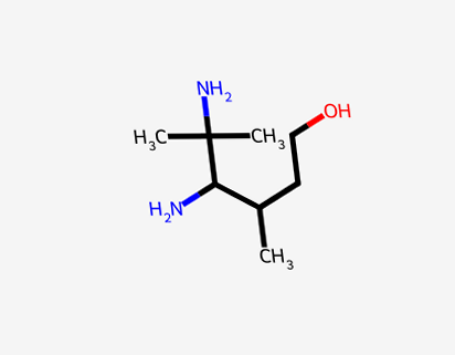 CC(CCO)C(N)C(C)(C)N